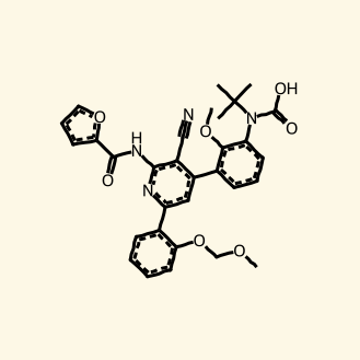 COCOc1ccccc1-c1cc(-c2cccc(N(C(=O)O)C(C)(C)C)c2OC)c(C#N)c(NC(=O)c2ccco2)n1